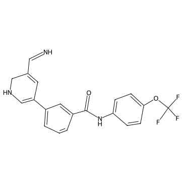 N=CC1=CC(c2cccc(C(=O)Nc3ccc(OC(F)(F)F)cc3)c2)=CNC1